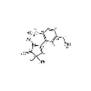 CC(=O)N1C(=O)C(C)(C(C)C)N=C1c1nc(CO)ccc1C(=O)O